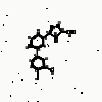 Cc1ccc(-c2cc(C3=NOC(C=O)N3)ncn2)cc1Cl